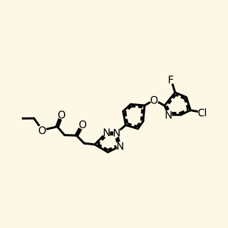 CCOC(=O)CC(=O)Cc1cnn(-c2ccc(Oc3ncc(Cl)cc3F)cc2)n1